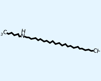 CCCCCCCCCCCCCCCCCCCCCCCCNCCCCCC